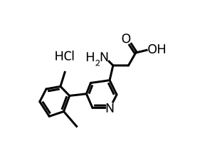 Cc1cccc(C)c1-c1cncc(C(N)CC(=O)O)c1.Cl